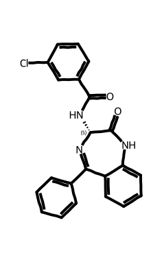 O=C(N[C@H]1N=C(c2ccccc2)c2ccccc2NC1=O)c1cccc(Cl)c1